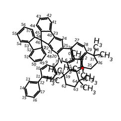 Cc1ccc2c(c1N(c1ccc(-c3ccccc3)cc1)c1cc3c(cc1-c1ccc4c(c1)C(C)(C)CCC4(C)C)-c1ccccc1C31c3ccccc3-c3ccccc31)C(C)(C)CCC2(C)C